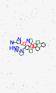 CC1C(c2ccccc2Cl)=CC=CC1(COc1cc(OCc2cncc(C#N)c2)c(CN2CCCCC2c2cc[nH]n2)cc1Cl)OCC1CCCN(C)C1